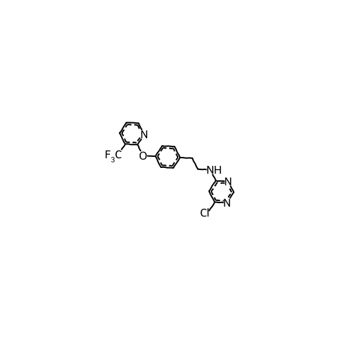 FC(F)(F)c1cccnc1Oc1ccc(CCNc2cc(Cl)ncn2)cc1